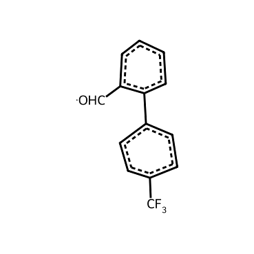 O=[C]c1ccccc1-c1ccc(C(F)(F)F)cc1